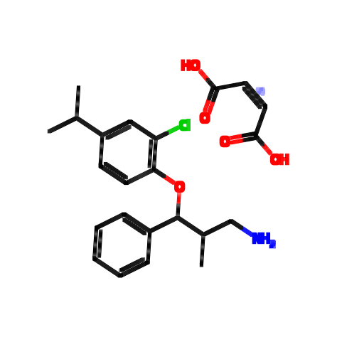 CC(C)c1ccc(OC(c2ccccc2)C(C)CN)c(Cl)c1.O=C(O)/C=C\C(=O)O